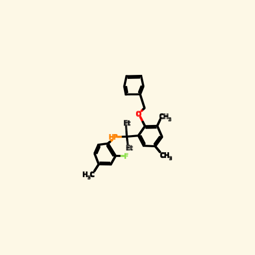 CCC(CC)(Pc1ccc(C)cc1F)c1cc(C)cc(C)c1OCc1ccccc1